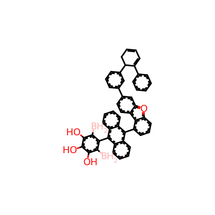 Bc1c(O)c(O)c(O)c(B)c1-c1c2ccccc2c(-c2cccc3oc4cc(-c5cccc(C6CC=CC=C6c6ccccc6)c5)ccc4c23)c2ccccc12